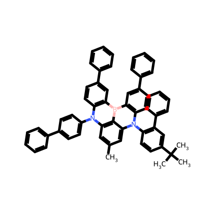 Cc1cc2c3c(c1)N(c1ccc(C(C)(C)C)cc1-c1ccccc1)c1ccc(-c4ccccc4)cc1B3c1cc(-c3ccccc3)ccc1N2c1ccc(-c2ccccc2)cc1